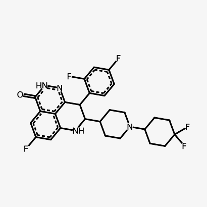 O=c1[nH]nc2c3c(cc(F)cc13)NC(C1CCN(C3CCC(F)(F)CC3)CC1)C2c1ccc(F)cc1F